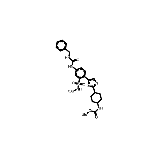 CC(C)(C)NS(=O)(=O)c1cc(NC(=O)NCc2ccccc2)ccc1-c1cnc(C2CCC(NC(=O)OC(C)(C)C)CC2)s1